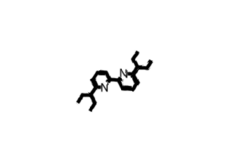 CCC(CC)c1cccc(-c2cccc(C(CC)CC)n2)n1